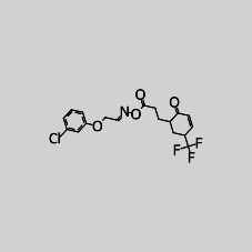 O=C(CCC1CC(C(F)(F)F)C=CC1=O)O/N=C/COc1cccc(Cl)c1